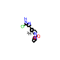 [2H]c1cc(-c2cnc3[nH]cc(Cl)c3c2)cc2c1CN(C(=O)N1CC3CCC(C1)C3=O)CC2